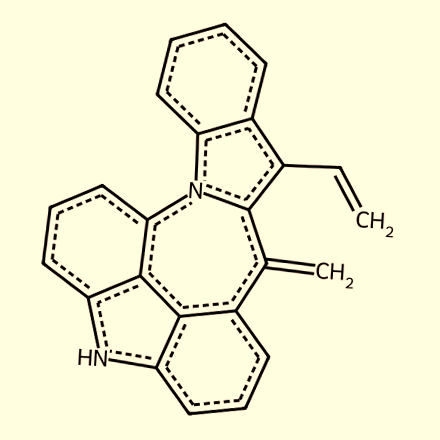 C=Cc1c2ccccc2n2c1c(=C)c1cccc3[nH]c4cccc2c4c31